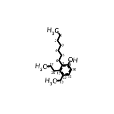 CCCCCCCc1c(O)ccc(CC)c1CCC